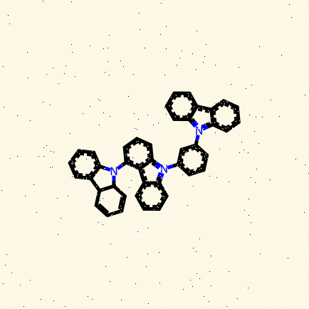 C1=CC2c3ccccc3N(c3cccc4c3c3ccccc3n4-c3cccc(-n4c5ccccc5c5ccccc54)c3)C2C=C1